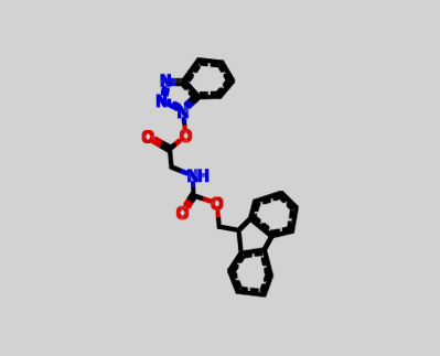 O=C(CNC(=O)OCC1c2ccccc2-c2ccccc21)On1nnc2ccccc21